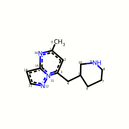 Cc1cc(CC2CCCNC2)n2nccc2n1